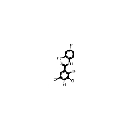 O=C(Nc1ccc(Br)cc1C(F)(F)F)c1cc(Cl)c(Cl)c(Cl)c1O